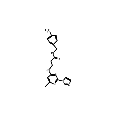 Cc1cc(NCCC(=O)NCc2ccc(C(F)(F)F)cc2)nc(-n2ccnc2)n1